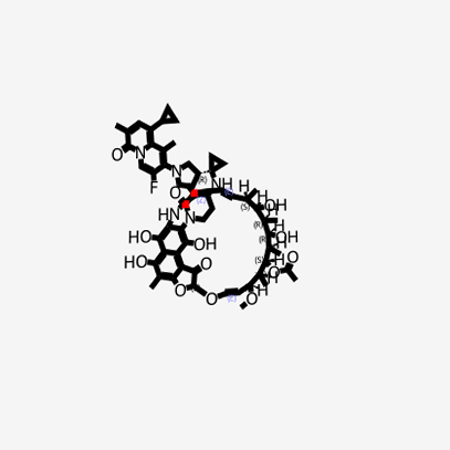 CO[C@H]1/C=C/O[C@@]2(C)Oc3c(C)c(O)c4c(O)c(c(N5CCC(NC6([C@@H]7CCN(c8c(F)cn9c(=O)c(C)cc(C%10CC%10)c9c8C)C7)CC6)CC5)c(O)c4c3C2=O)NC(=O)/C(C)=C\C=C\[C@H](C)[C@H](O)[C@@H](C)[C@@H](O)[C@@H](C)[C@H](OC(C)=O)[C@@H]1C